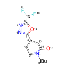 CCC(C)n1ccc(-c2nnc(C(F)F)o2)cc1=O